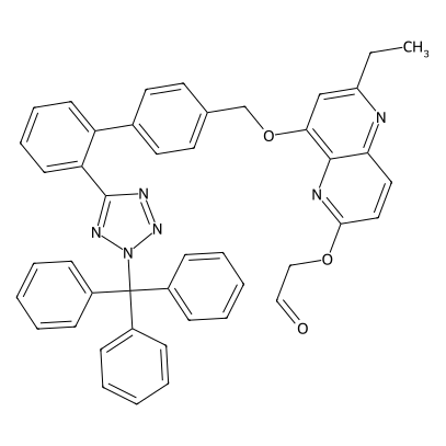 CCc1cc(OCc2ccc(-c3ccccc3-c3nnn(C(c4ccccc4)(c4ccccc4)c4ccccc4)n3)cc2)c2nc(OCC=O)ccc2n1